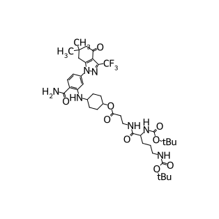 CC1(C)CC(=O)c2c(C(F)(F)F)nn(-c3ccc(C(N)=O)c(NC4CCC(OC(=O)CCNC(=O)C(CCCNC(=O)OC(C)(C)C)NC(=O)OC(C)(C)C)CC4)c3)c2C1